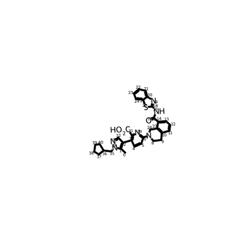 Cc1c(-c2ccc(N3CCc4cccc(C(=O)Nc5nc6ccccc6s5)c4C3)nc2C(=O)O)cnn1CC1CCCC1